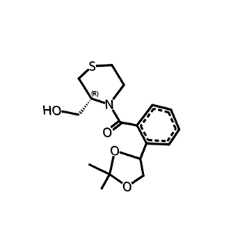 CC1(C)OCC(c2ccccc2C(=O)N2CCSC[C@H]2CO)O1